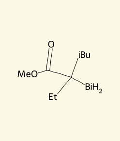 CCC(C)[C]([BiH2])(CC)C(=O)OC